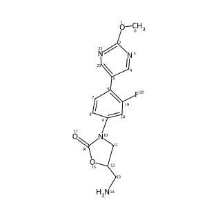 COc1ncc(-c2ccc(N3CC(CN)OC3=O)cc2F)cn1